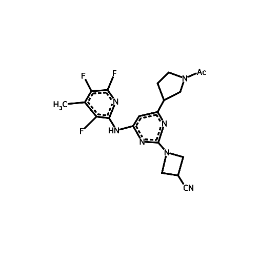 CC(=O)N1CCC(c2cc(Nc3nc(F)c(F)c(C)c3F)nc(N3CC(C#N)C3)n2)C1